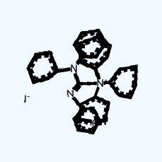 [I-].c1ccc(N=C(N(c2ccccc2)c2ccccc2)[N+](c2ccccc2)(c2ccccc2)c2ccccc2)cc1